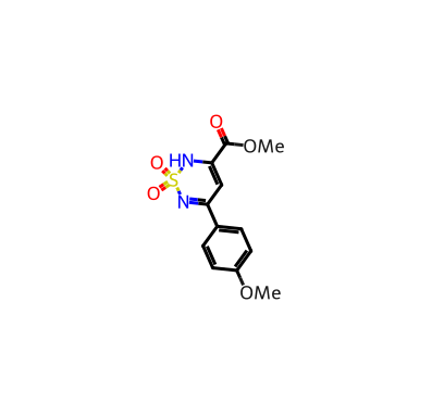 COC(=O)C1=CC(c2ccc(OC)cc2)=NS(=O)(=O)N1